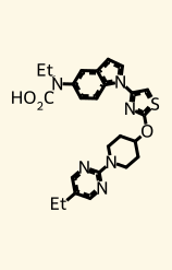 CCc1cnc(N2CCC(Oc3nc(-n4ccc5cc(N(CC)C(=O)O)ccc54)cs3)CC2)nc1